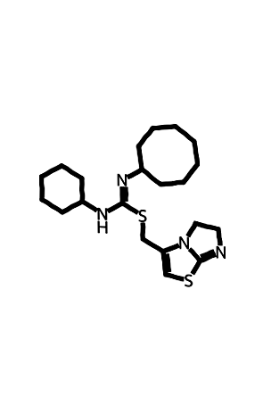 C1=C(CS/C(=N\C2CCCCCCC2)NC2CCCCC2)N2CCN=C2S1